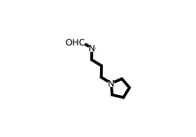 O=C[N]CCCN1CCCC1